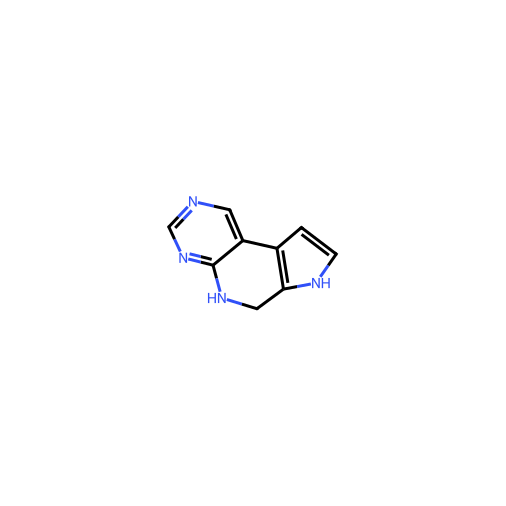 c1ncc2c(n1)NCc1[nH]ccc1-2